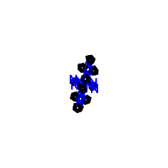 c1ccc(N2c3ccccc3N(c3ccc(-c4ccc(N5c6ccccc6N(c6ccccc6)c6ccccc65)cc4-c4ncncn4)c(-c4ncncn4)c3)c3ccccc32)cc1